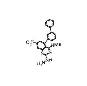 CNc1nc(NN)nc2cc([N+](=O)[O-])cc(-c3cccc(-c4ccccc4)c3)c12